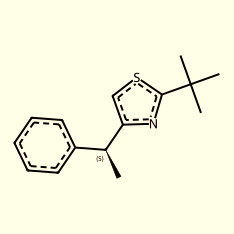 C[C@@H](c1ccccc1)c1csc(C(C)(C)C)n1